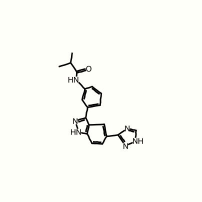 CC(C)C(=O)Nc1cccc(-c2n[nH]c3ccc(-c4nc[nH]n4)cc23)c1